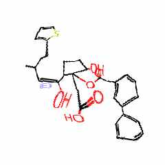 CC(/C=C(/O)C1CCC(O)C1(CC(=O)O)OC(=O)c1cccc(-c2ccccc2)c1)Cc1cccs1